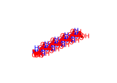 C=CCC(NC(=O)C(CCC(=O)O)NC(=O)CNC(=O)C(CCC(=O)O)NC(=O)CNC(=O)C(CCC(=O)O)NC(=O)CNC(=O)C(CCC(=O)O)NC(=O)CNC(=O)C(CCC(=O)O)NC(=O)CNC(=O)C(CCC(=O)O)NC(=O)CNC(=O)C(CCC(=O)O)NC(=O)CNC(=O)C(CCC(=O)O)NC(=O)CNC(=O)C(CCC(=O)O)NC(=O)C(=C)C)C(=O)O